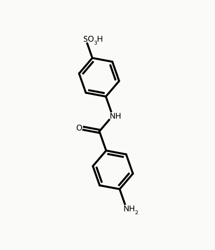 Nc1ccc(C(=O)Nc2ccc(S(=O)(=O)O)cc2)cc1